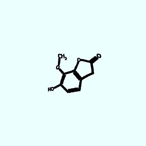 COc1c(O)ccc2c1OC(=O)C2